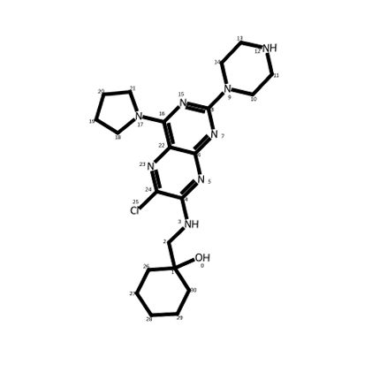 OC1(CNc2nc3nc(N4CCNCC4)nc(N4CCCC4)c3nc2Cl)CCCCC1